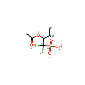 CCC(OC(C)=O)C(F)(F)S(=O)(=O)O